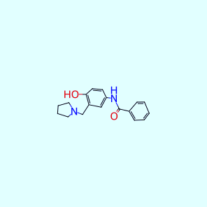 O=C(Nc1ccc(O)c(CN2CCCC2)c1)c1ccccc1